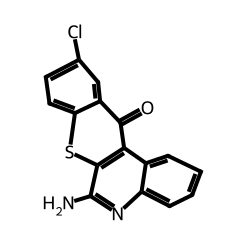 Nc1nc2ccccc2c2c(=O)c3cc(Cl)ccc3sc12